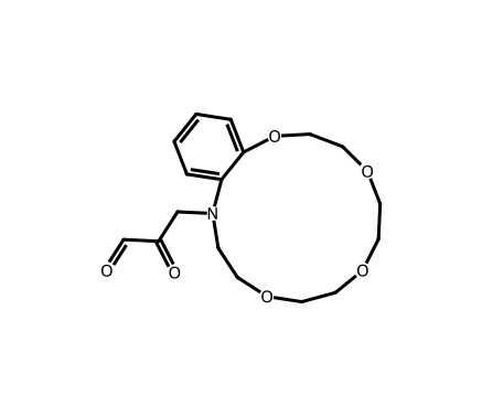 O=CC(=O)CN1CCOCCOCCOCCOc2ccccc21